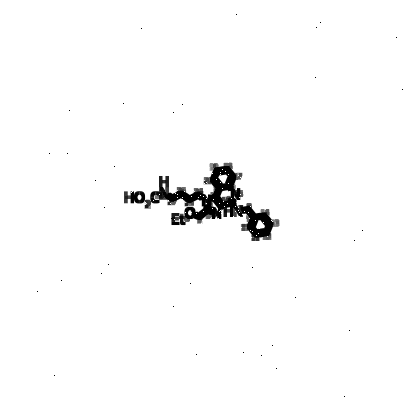 CCOCc1nc2c(NCc3ccccc3)nc3ccccc3c2n1CCCCNC(=O)O